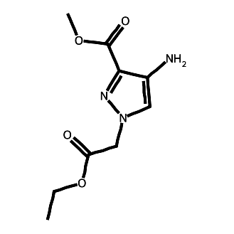 CCOC(=O)Cn1cc(N)c(C(=O)OC)n1